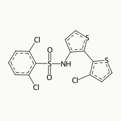 O=S(=O)(Nc1ccsc1-c1sccc1Cl)c1c(Cl)cccc1Cl